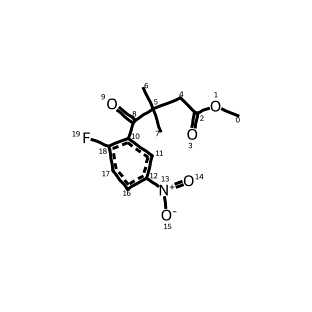 COC(=O)CC(C)(C)C(=O)c1cc([N+](=O)[O-])ccc1F